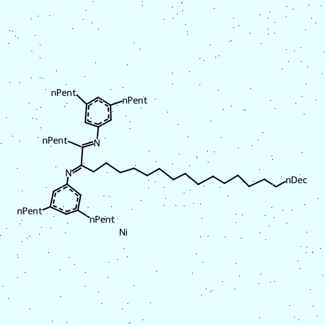 CCCCCCCCCCCCCCCCCCCCCCCCCC(=N\c1cc(CCCCC)cc(CCCCC)c1)/C(CCCCC)=N/c1cc(CCCCC)cc(CCCCC)c1.[Ni]